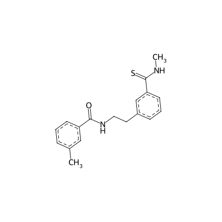 CNC(=S)c1cccc(CCNC(=O)c2cccc(C)c2)c1